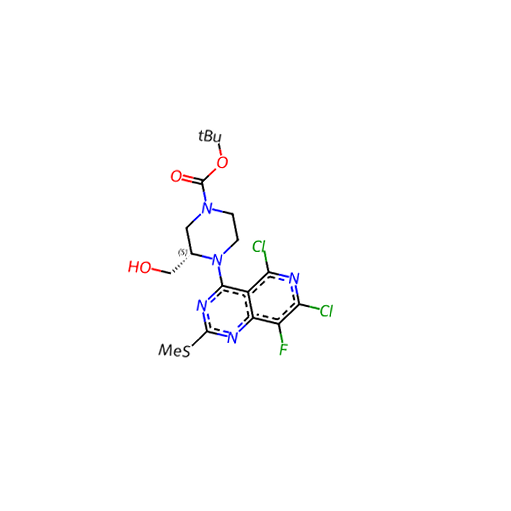 CSc1nc(N2CCN(C(=O)OC(C)(C)C)C[C@H]2CO)c2c(Cl)nc(Cl)c(F)c2n1